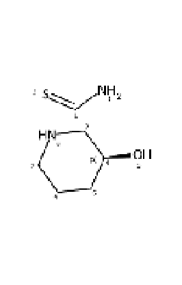 NC=S.O[C@H]1CCCNC1